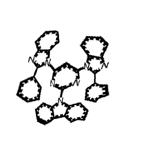 c1ccc2c(c#1)c1ccccc1n2-c1nc(-n2c(-c3ccccc3)nc3ccccc32)cc(-n2c(-c3ccccc3)nc3ccccc32)n1